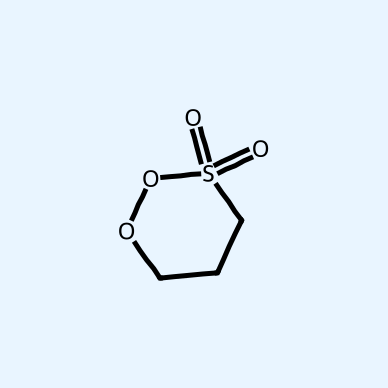 O=S1(=O)CCCOO1